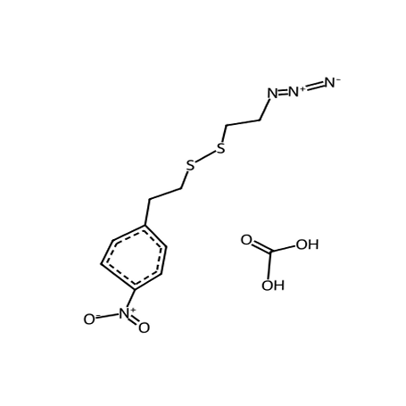 O=C(O)O.[N-]=[N+]=NCCSSCCc1ccc([N+](=O)[O-])cc1